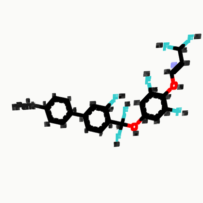 CCCCCc1ccc(-c2ccc(C(F)(F)Oc3cc(F)c(O/C=C/C(F)F)c(F)c3)c(F)c2)cc1